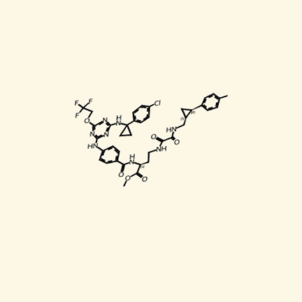 COC(=O)[C@H](CCNC(=O)C(=O)NC[C@H]1C[C@H]1c1ccc(C)cc1)NC(=O)c1ccc(Nc2nc(NC3(c4ccc(Cl)cc4)CC3)nc(OCC(F)(F)F)n2)cc1